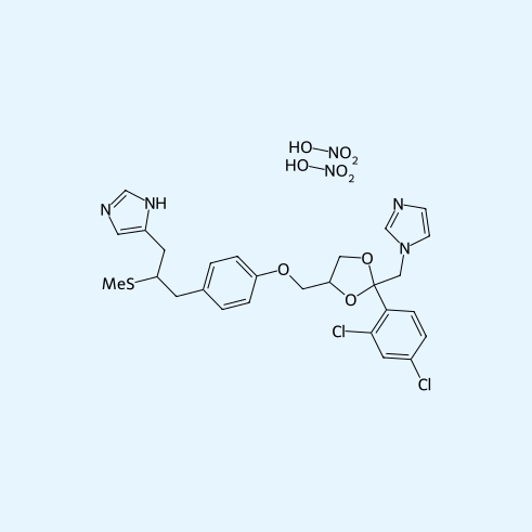 CSC(Cc1ccc(OCC2COC(Cn3ccnc3)(c3ccc(Cl)cc3Cl)O2)cc1)Cc1cnc[nH]1.O=[N+]([O-])O.O=[N+]([O-])O